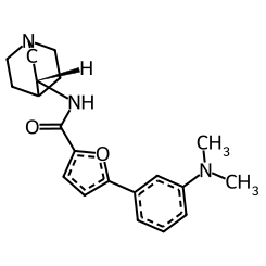 CN(C)c1cccc(-c2ccc(C(=O)N[C@H]3CN4CCC3CC4)o2)c1